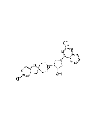 OC1CN(c2nc(C(F)(F)F)nc3ccccc23)CC1N1CCC2(CC1)Cc1cc(Cl)ccc1O2